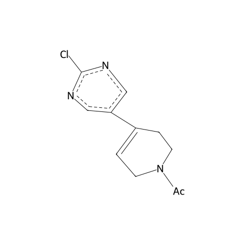 CC(=O)N1CC=C(c2cnc(Cl)nc2)CC1